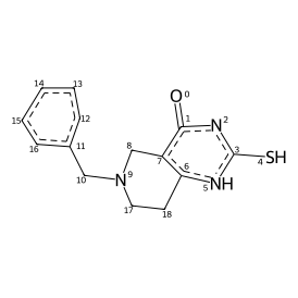 O=c1nc(S)[nH]c2c1CN(Cc1ccccc1)CC2